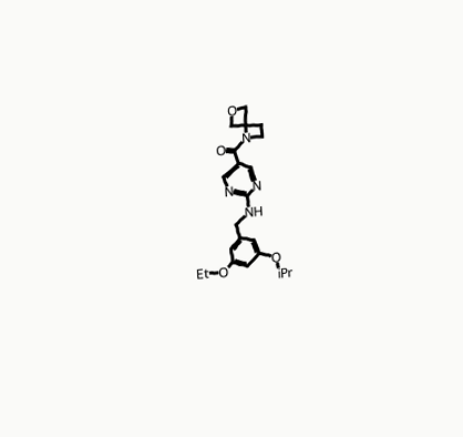 CCOc1cc(CNc2ncc(C(=O)N3CCC34COC4)cn2)cc(OC(C)C)c1